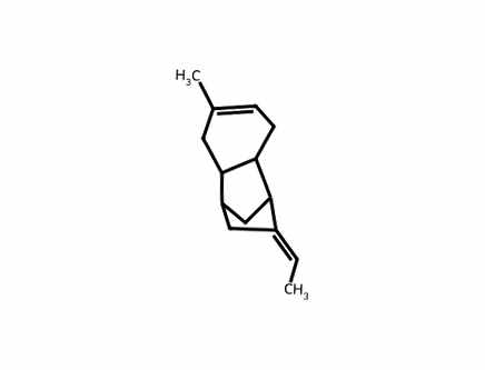 CC=C1CC2CC1C1CC=C(C)CC21